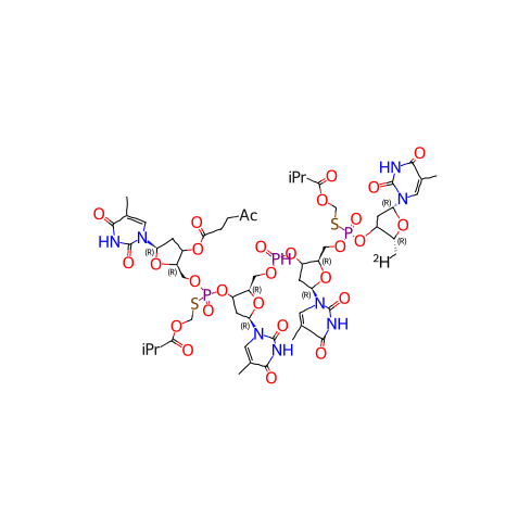 [2H]C[C@H]1O[C@@H](n2cc(C)c(=O)[nH]c2=O)CC1OP(=O)(OC[C@H]1O[C@@H](n2cc(C)c(=O)[nH]c2=O)CC1O[PH](=O)OC[C@H]1O[C@@H](n2cc(C)c(=O)[nH]c2=O)CC1OP(=O)(OC[C@H]1O[C@@H](n2cc(C)c(=O)[nH]c2=O)CC1OC(=O)CCC(C)=O)SCOC(=O)C(C)C)SCOC(=O)C(C)C